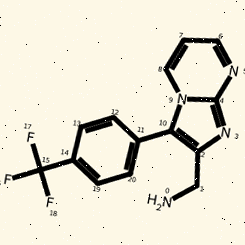 NCc1nc2ncccn2c1-c1ccc(C(F)(F)F)cc1